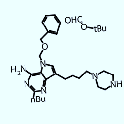 CC(C)(C)OC=O.CCCCc1nc(N)c2c(n1)c(CCCCN1CCNCC1)cn2COCc1ccccc1